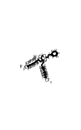 CC1(C)COC(/C=C/c2ccccc2)OC1(CCC(F)(F)C(F)(F)C(F)(F)C(F)(F)C(F)(F)C(F)(F)F)CCC(F)(F)C(F)(F)C(F)(F)C(F)(F)C(F)(F)C(F)(F)F